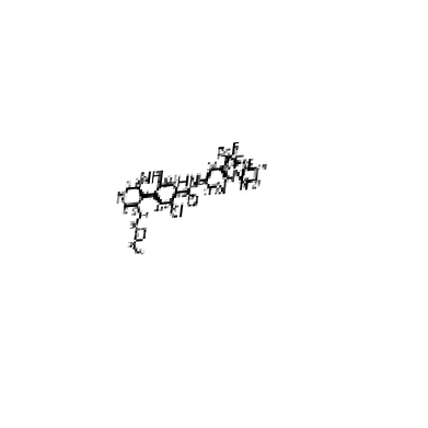 CCOCCc1cncc(N)c1-c1cc(Cl)c(C(=O)Nc2cnc(-n3nccn3)c(C(F)(F)F)c2)cc1F